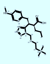 CCC[C@H](C(=O)O)[C@H](Cc1ccc(NC)cn1)c1nnnn1COCC[Si](C)(C)C